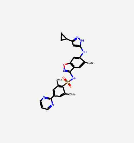 COc1cc2c(NS(=O)(=O)c3c(OC)cc(-c4ncccn4)cc3OC)noc2cc1Nc1cc(C2CC2)n[nH]1